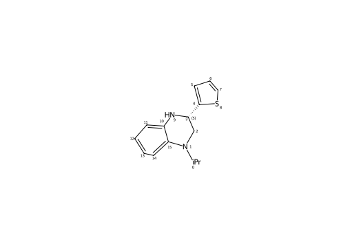 CC(C)N1C[C@@H](c2cccs2)Nc2ccccc21